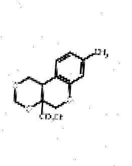 CCOC(=O)C12COc3cc(C)ccc3C1COCO2